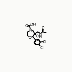 CC(=O)NCC1(O)CN(C(=O)O)CCOC1c1ccc(Cl)c(Cl)c1